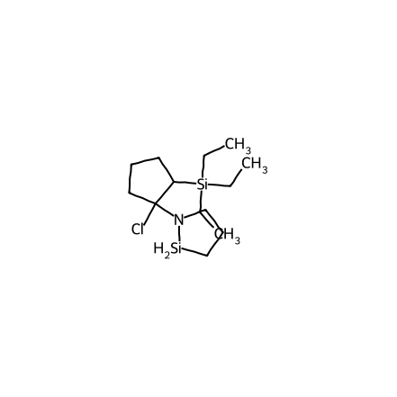 CC[Si](CC)(CC)C1CCCC1(Cl)N1CCC[SiH2]1